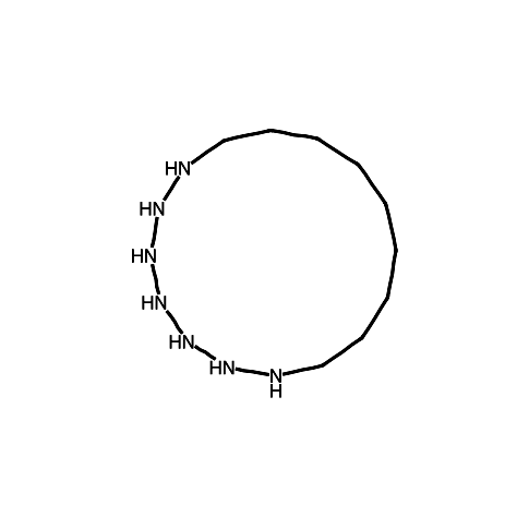 C1CCCCNNNNNNNCCCC1